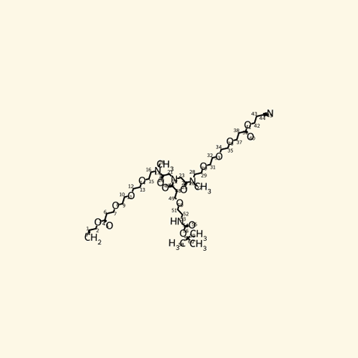 C=CCOC(=O)CCOCCOCCOCCN(C)C(=O)CN(CC(=O)N(C)CCOCCOCCOCCC(=O)OCCC#N)C(=O)CCOCCNC(=O)OC(C)(C)C